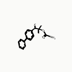 CC(C)(OC(N)=O)C(F)c1ccc(-c2ccccc2)cc1